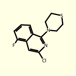 Fc1cccc2c(N3CCSCC3)nc(Cl)cc12